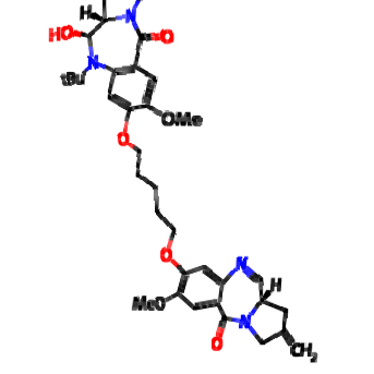 C=C1C[C@H]2C=Nc3cc(OCCCCCOc4cc5c(cc4OC)C(=O)N4CCC[C@H]4[C@H](O)N5C(C)(C)C)c(OC)cc3C(=O)N2C1